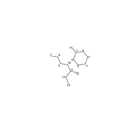 CC1CCCCC1.CCCCC(C)CC